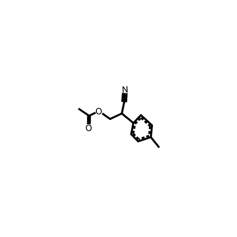 CC(=O)OCC(C#N)c1ccc(C)cc1